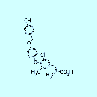 C/C(=C\c1cc(C)c(Oc2ccc(OCc3ccc(C)cc3)cn2)c(Cl)c1)C(=O)O